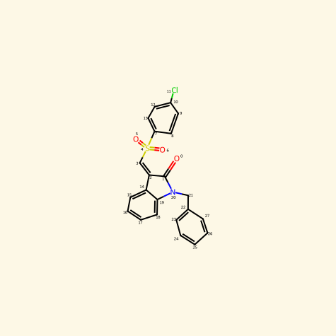 O=C1C(=CS(=O)(=O)c2ccc(Cl)cc2)c2ccccc2N1Cc1ccccc1